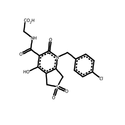 O=C(O)CNC(=O)c1c(O)c2c(n(Cc3ccc(Cl)cc3)c1=O)CS(=O)(=O)C2